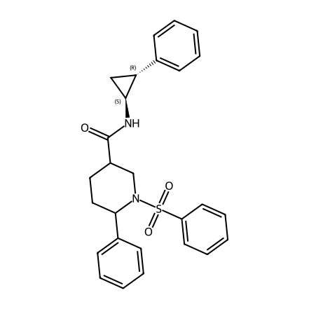 O=C(N[C@H]1C[C@@H]1c1ccccc1)C1CCC(c2ccccc2)N(S(=O)(=O)c2ccccc2)C1